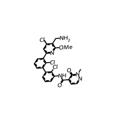 COc1nc(-c2cccc(-c3cccc(NC(=O)c4ccnn(C)c4=O)c3Cl)c2Cl)cc(Cl)c1CN